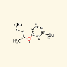 C[C@H](CCC(C)(C)C)Oc1cccc(C(C)(C)C)c1